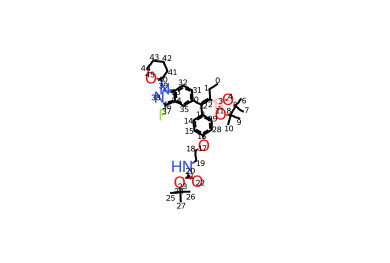 CC/C(B1OC(C)(C)C(C)(C)O1)=C(/c1ccc(OCCNC(=O)OC(C)(C)C)cc1)c1ccc2c(c1)c(F)nn2C1CCCCO1